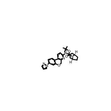 CC(C)(C)OC(=O)N1[C@@H]2CC[C@H]1CC(Nc1ccc3c(n1)COc1cc(-n4cccn4)ccc1-3)C2